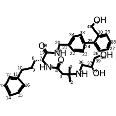 CC(C)(CC(=O)N[C@H](CCCc1ccccc1)C(=O)NCc1ccc(-c2ccccc2CO)cc1)NC[C@H](O)CO